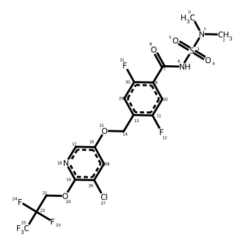 CN(C)S(=O)(=O)NC(=O)c1cc(F)c(COc2cnc(OCC(F)(F)C(F)(F)F)c(Cl)c2)cc1F